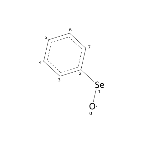 [O][Se]c1ccccc1